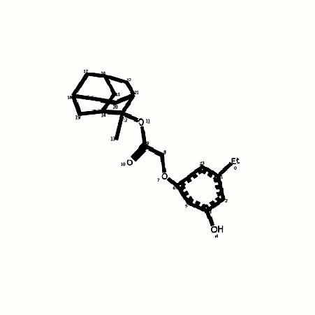 CCc1cc(O)cc(OCC(=O)OC2(C)C3CC4CC(C3)CC2C4)c1